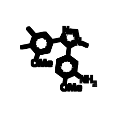 COc1ccc(-c2c(-c3cc(C)c(C)c(OC)c3)ncn2C)cc1N